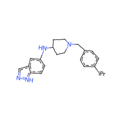 CC(C)c1ccc(CN2CCC(Nc3ccc4[nH]ncc4c3)CC2)cc1